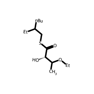 CCCCC(CC)CSC(=O)[C@@H](O)C(C)OCC